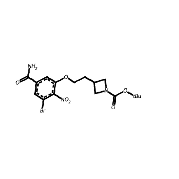 CC(C)(C)OC(=O)N1CC(CCOc2cc(C(N)=O)cc(Br)c2[N+](=O)[O-])C1